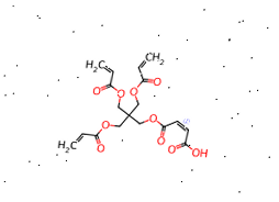 C=CC(=O)OCC(COC(=O)C=C)(COC(=O)C=C)COC(=O)/C=C\C(=O)O